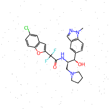 Cn1ncc2cc([C@@H](O)[C@@H](CN3CCCC3)NC(=O)C(F)(F)c3cc4cc(Cl)ccc4o3)ccc21